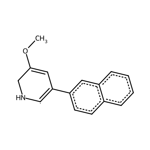 COC1=CC(c2ccc3ccccc3c2)=[C]NC1